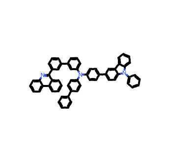 c1ccc(-c2ccc(N(c3ccc(-c4ccc5c(c4)c4ccccc4n5-c4ccccc4)cc3)c3cccc(-c4cccc(-c5nc6ccccc6c6ccccc56)c4)c3)cc2)cc1